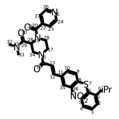 CC(C)c1ccccc1Sc1ccc(C=CC(=O)N2CCN(C(=O)c3ccncc3)C(C(=O)N(C)C)C2)cc1[N+](=O)[O-]